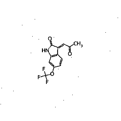 CC(=O)/C=C1/C(=O)Nc2cc(OC(F)(F)F)ccc21